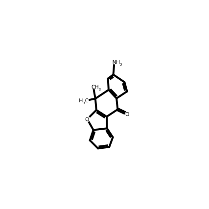 CC1(C)c2cc(N)ccc2C(=O)c2c1oc1ccccc21